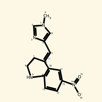 Cn1cnc(/C=C2\CCNc3ccc([N+](=O)[O-])cc32)c1